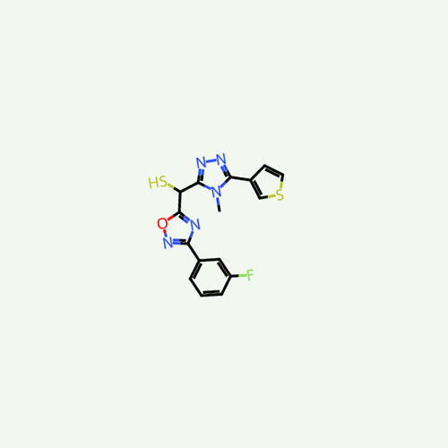 Cn1c(-c2ccsc2)nnc1C(S)c1nc(-c2cccc(F)c2)no1